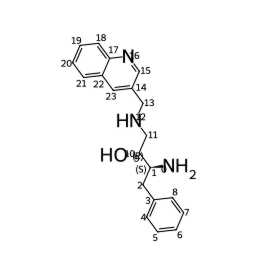 N[C@@H](Cc1ccccc1)[C@H](O)CNCc1cnc2ccccc2c1